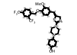 COc1cc(C=C2CN=C(N3CCN(c4ccc(O)cc4)CC3)S2)ccc1OCc1ccc(C(F)(F)F)cc1C(F)(F)F